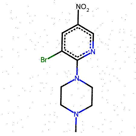 CN1CCN(c2ncc([N+](=O)[O-])cc2Br)CC1